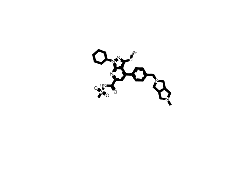 CC(C)Oc1nn(C2CCCCC2)c2nc(C(=O)NS(C)(=O)=O)cc(-c3ccc(CN4CC5CN(C)CC5C4)cc3)c12